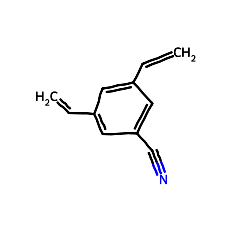 C=Cc1cc(C#N)cc(C=C)c1